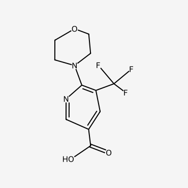 O=C(O)c1cnc(N2CCOCC2)c(C(F)(F)F)c1